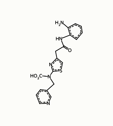 Nc1ccccc1NC(=O)Cc1csc(N(Cc2cccnc2)C(=O)O)n1